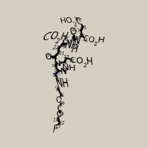 N=N/C(=C\NCCOCCOCCF)CN(CCC(=O)O)C(=O)CC[C@H](NC(=O)N[C@@H](CCC(=O)O)C(=O)O)C(=O)O